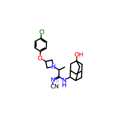 CC(/C(=N/C#N)NC1C2CC3CC1CC(O)(C3)C2)N1CC(Oc2ccc(Cl)cc2)C1